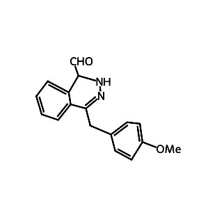 COc1ccc(CC2=NNC(C=O)c3ccccc32)cc1